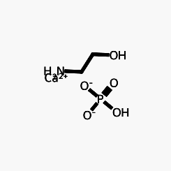 NCCO.O=P([O-])([O-])O.[Ca+2]